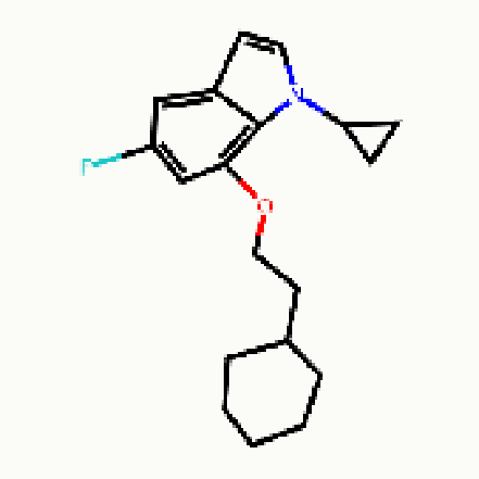 Fc1cc(OCCC2CCCCC2)c2c(ccn2C2CC2)c1